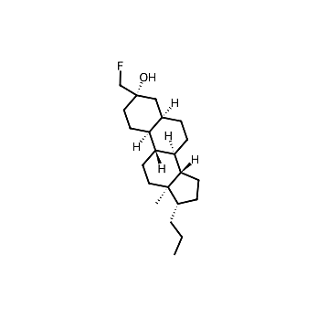 CCC[C@H]1CC[C@H]2[C@@H]3CC[C@@H]4C[C@](O)(CF)CC[C@@H]4[C@H]3CC[C@]12C